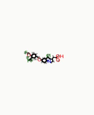 O=C(O)CC1CCn2c1c(Cl)c1cc(OCc3ccc(OCF)c(C(F)(F)F)c3)ccc12